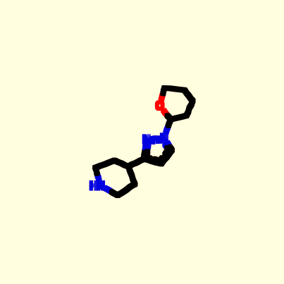 c1cn(C2CCCCO2)nc1C1CCNCC1